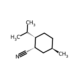 CC(C)[C@@H]1CC[C@@H](C)C[C@@H]1C#N